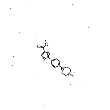 COC(=O)c1csc(-c2ccc(N3CCN(C)CC3)cc2)n1